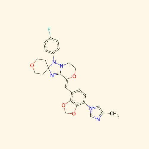 Cc1cn(-c2ccc(/C=C3\OCCN4C3=NC3(CCOCC3)N4c3ccc(F)cc3)c3c2OCO3)cn1